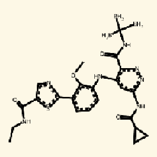 BC(B)(B)NC(=O)c1nnc(NC(=O)C2CC2)cc1Nc1cccc(-c2ncc(C(=O)NCC)s2)c1OC